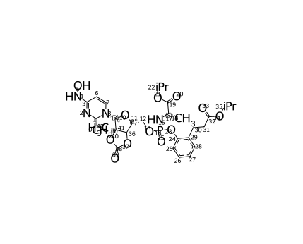 C=C1N=C(NO)C=CN1[C@@H]1O[C@H](COP(=O)(N[C@@H](C)C(=O)OC(C)C)Oc2ccccc2CCC(=O)OC(C)C)C2OC(=O)O[C@]21C